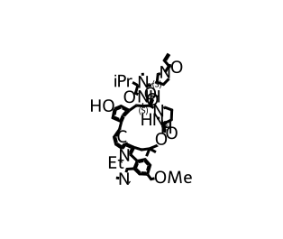 C=CC(=O)N1CC[C@H](C(=O)N(C)C(C(=O)N[C@H]2Cc3cc(O)cc(c3)-c3ccc4c(c3)c(c(-c3ccc(COC)cc3CN(C)C)n4CC)CC(C)(C)COC(=O)[C@@H]3CCCN(N3)C2=O)C(C)C)C1